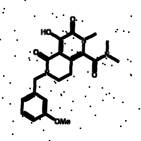 COc1cccc(CN2CCc3c(c(O)c(=O)n(C)c3C(=O)N(C)C)C2=O)c1